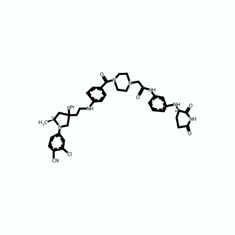 CCCC1(CCNc2ccc(C(=O)N3CCN(CC(=O)Nc4cccc(N[C@@H]5CCC(=O)NC5=O)c4)CC3)cc2)C[C@H](C)N(c2ccc(C#N)c(Cl)c2)C1